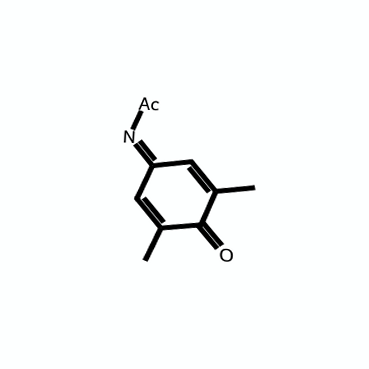 CC(=O)N=C1C=C(C)C(=O)C(C)=C1